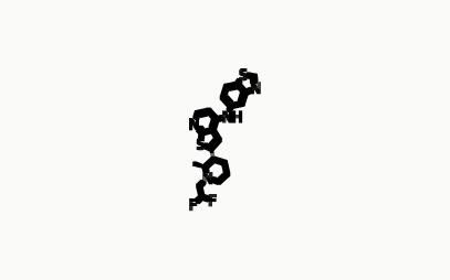 C[C@H]1[C@H](c2cc3c(Nc4ccc5scnc5c4)ccnc3s2)CCCN1CC(F)F